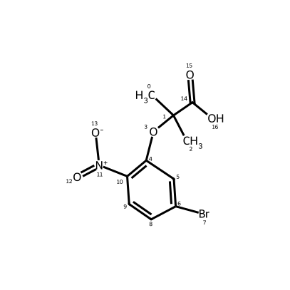 CC(C)(Oc1cc(Br)ccc1[N+](=O)[O-])C(=O)O